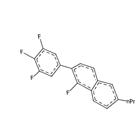 CCCc1ccc2c(F)c(-c3cc(F)c(F)c(F)c3)ccc2c1